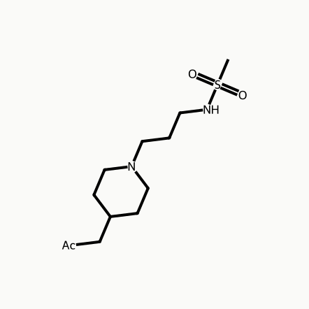 CC(=O)CC1CCN(CCCNS(C)(=O)=O)CC1